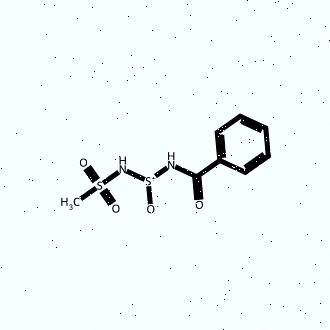 CS(=O)(=O)N[S+]([O-])NC(=O)c1ccccc1